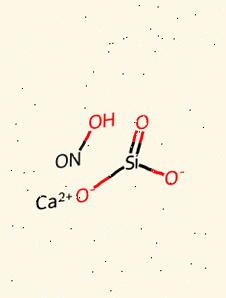 O=NO.O=[Si]([O-])[O-].[Ca+2]